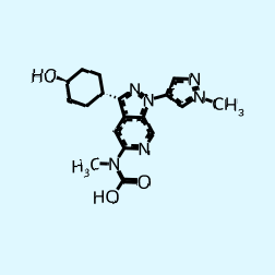 CN(C(=O)O)c1cc2c(cn1)n(-c1cnn(C)c1)nc2[C@H]1CC[C@H](O)CC1